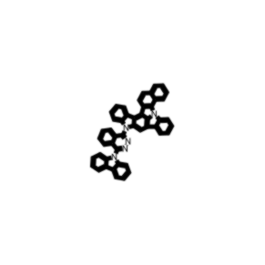 c1ccc2c(c1)ccc1c3c4c5ccccc5n(-c5nnc(-n6c7ccccc7c7ccccc76)c6ccccc56)c4cc4c5ccccc5n(c21)c43